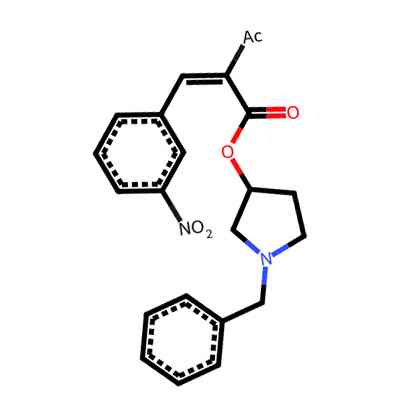 CC(=O)C(=Cc1cccc([N+](=O)[O-])c1)C(=O)OC1CCN(Cc2ccccc2)C1